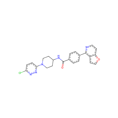 O=C(NC1CCN(c2ccc(Cl)nn2)CC1)c1ccc(-c2nccc3occc23)cc1